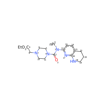 CCCN(C(=O)N1CCN(CC(=O)OCC)CC1)c1ccc2c(n1)NCCC2